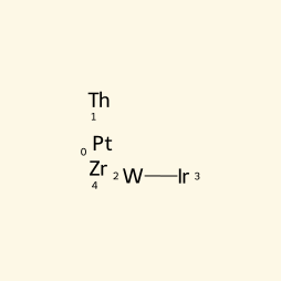 [Pt].[Th].[W][Ir].[Zr]